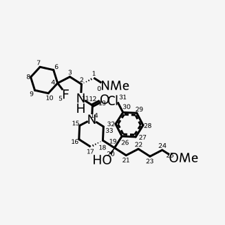 CNC[C@@H](CC1(F)CCCCC1)NC(=O)N1CCC[C@@H]([C@@](O)(CCCCOC)c2cccc(Cl)c2)C1